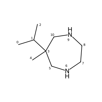 CC(C)C1(C)CNCCNC1